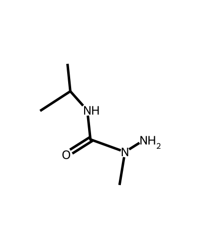 CC(C)NC(=O)N(C)N